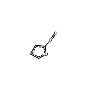 O=Bc1ccco1